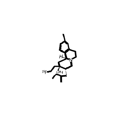 CCC(C)C[C@H]1CN2CCc3cc(C)ccc3[C@@H]2C[C@@]1(O)CC[19F]